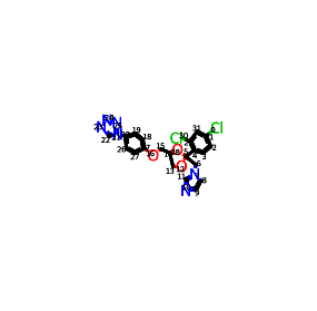 Clc1ccc(C2(Cn3ccnc3)OCC(COc3ccc(-n4cnnn4)cc3)O2)c(Cl)c1